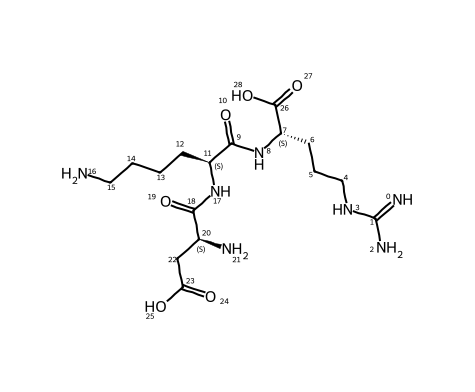 N=C(N)NCCC[C@H](NC(=O)[C@H](CCCCN)NC(=O)[C@@H](N)CC(=O)O)C(=O)O